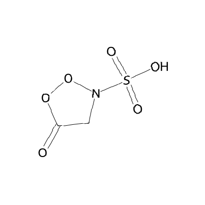 O=C1CN(S(=O)(=O)O)OO1